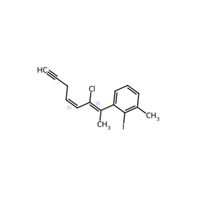 C#CC/C=C\C(Cl)=C(/C)c1cccc(C)c1I